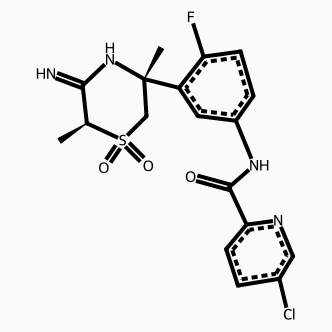 C[C@H]1C(=N)N[C@](C)(c2cc(NC(=O)c3ccc(Cl)cn3)ccc2F)CS1(=O)=O